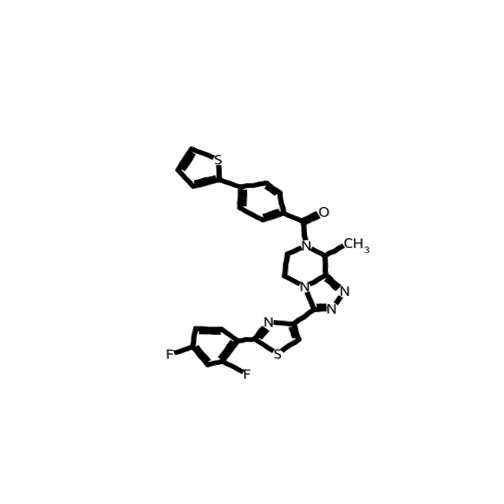 CC1c2nnc(-c3csc(-c4ccc(F)cc4F)n3)n2CCN1C(=O)c1ccc(-c2cccs2)cc1